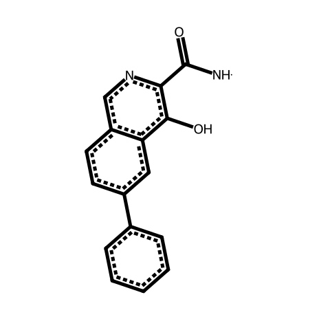 [NH]C(=O)c1ncc2ccc(-c3ccccc3)cc2c1O